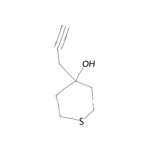 C#CCC1(O)CCSCC1